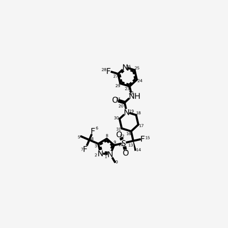 Cn1nc(C(C)(F)F)cc1S(=O)(=O)[C@@](C)(F)C1CCN(C(=O)Nc2ccnc(F)c2)CC1